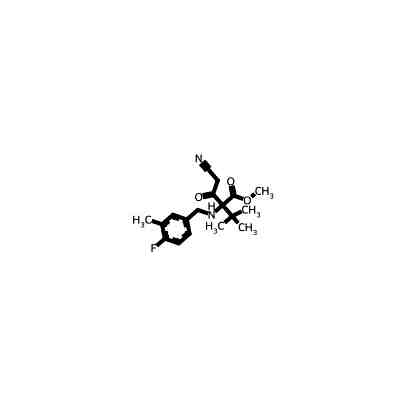 COC(=O)C(NCc1ccc(F)c(C)c1)(C(=O)CC#N)C(C)(C)C